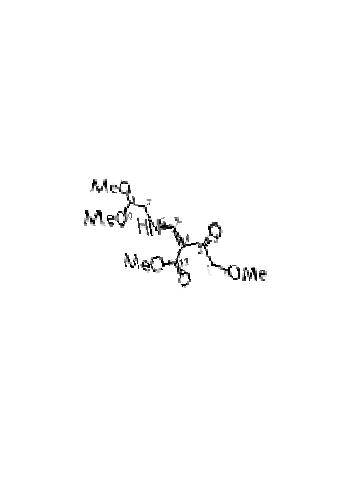 COCC(=O)C(=CNCC(OC)OC)C(=O)OC